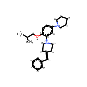 CC(C)COc1ccc(N2CCCCC2)cc1N1CCC(=Cc2ccccc2)CC1